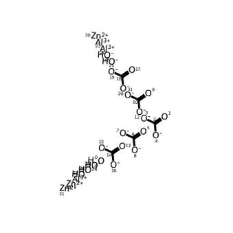 O.O=C([O-])[O-].O=C([O-])[O-].O=C([O-])[O-].O=C([O-])[O-].O=C([O-])[O-].[Al+3].[Al+3].[Al+3].[OH-].[OH-].[OH-].[OH-].[OH-].[Zn+2].[Zn+2].[Zn+2]